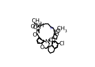 CO[C@H]1/C=C/CCC[S@@](=O)(NC(C)=O)=NC(=O)c2ccc3c(c2)N(C[C@@H]2CC[C@H]21)C[C@@]1(CCCc2cc(Cl)ccc21)CO3